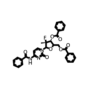 C[C@]1(F)C(n2ccc(NC(=O)c3ccccc3)nc2=O)OC(COC(=O)c2ccccc2)[C@H]1OC(=O)c1ccccc1